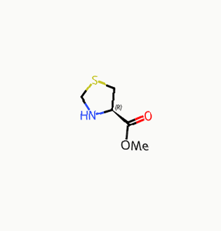 COC(=O)[C@@H]1CSCN1